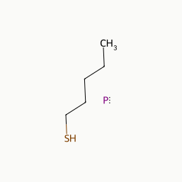 CCCCCS.[P]